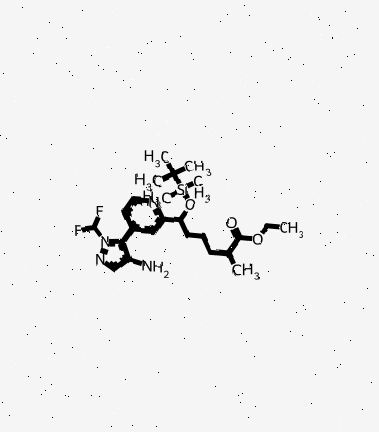 CCOC(=O)C(C)CCCC(O[Si](C)(C)C(C)(C)C)c1cc(-c2c(N)cnn2C(F)F)ccn1